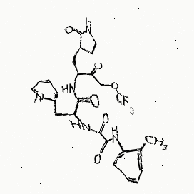 Cc1ccccc1NC(=O)C(=O)N[C@@H](Cc1ccccn1)C(=O)N[C@@H](C[C@@H]1CCNC1=O)C(=O)COC(F)(F)F